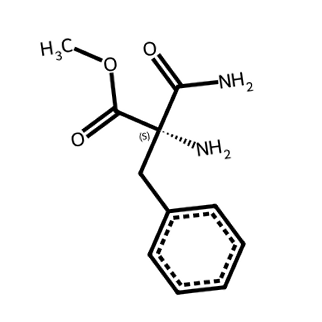 COC(=O)[C@](N)(Cc1ccccc1)C(N)=O